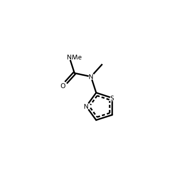 CNC(=O)N(C)c1nccs1